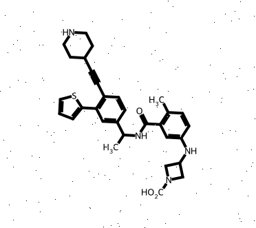 Cc1ccc(NC2CN(C(=O)O)C2)cc1C(=O)NC(C)c1ccc(C#CC2CCNCC2)c(-c2cccs2)c1